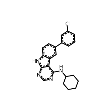 Clc1cccc(-c2ccc3[nH]c4ncnc(NC5CCCCC5)c4c3c2)c1